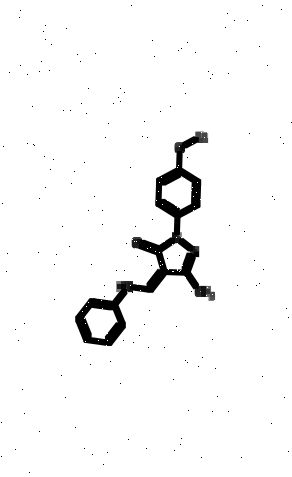 CCOc1ccc(N2N=C(C)C(=CNc3ccccc3)C2=O)cc1